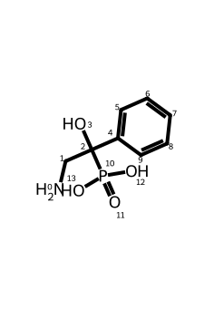 NCC(O)(c1ccccc1)P(=O)(O)O